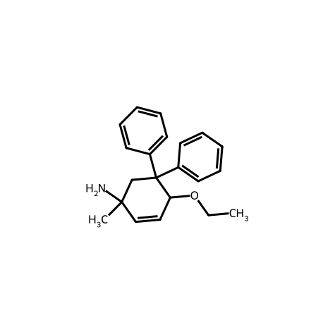 CCOC1C=CC(C)(N)CC1(c1ccccc1)c1ccccc1